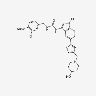 CCn1cc(NC(=O)NCc2ccc(OC)c(Cl)c2)c2cc(-c3nc(CN4CCC(O)CC4)cs3)ccc21